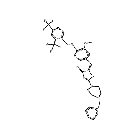 COc1cc(C=C2SC(N3CCN(Cc4ccccc4)CC3)=NC2=O)ccc1OCc1ccc(C(F)(F)F)cc1C(F)(F)F